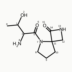 CC(O)C(N)C(=O)N1CCCC12CNC2=O